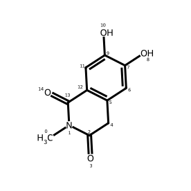 CN1C(=O)Cc2cc(O)c(O)cc2C1=O